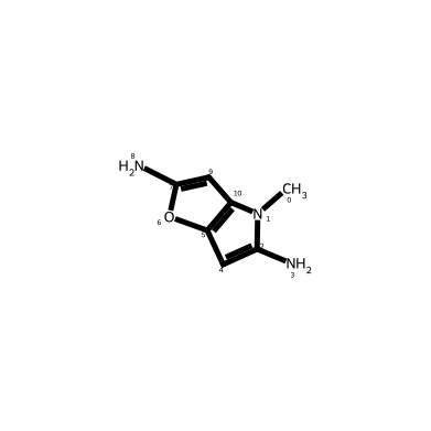 Cn1c(N)cc2oc(N)cc21